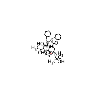 CC(C)C[C@H](O)[C@H](O)[C@H](CC1CCCCC1)N(CC1CCCCC1)C(=O)[C@@H](CC(=O)NCC(C)(C)O)Cc1cscn1